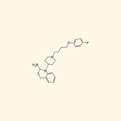 NC1SCc2ccccc2N1C1CCN(CCCCOc2ccc(F)cc2)CC1